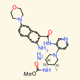 COC(=O)N[C@@H]1[C@H](N)CN(c2ccncc2NC(=O)c2cc3cc(N4CCOCC4)ccc3cc2N)C[C@@H]1C